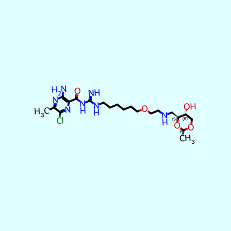 Cc1nc(N)c(C(=O)NC(=N)NCCCCCCOCCNC[C@@H]2O[C@H](C)OC[C@H]2O)nc1Cl